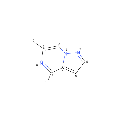 Cc1cn2n[c]cc2c(C)n1